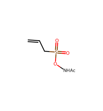 C=CCS(=O)(=O)ONC(C)=O